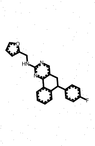 Fc1ccc(C2Cc3cnc(NCc4ccco4)nc3-c3ccccc32)cc1